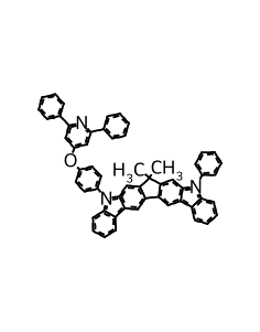 CC1(C)c2cc3c(cc2-c2cc4c5ccccc5n(-c5ccc(Oc6cc(-c7ccccc7)nc(-c7ccccc7)c6)cc5)c4cc21)c1ccccc1n3-c1ccccc1